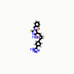 O=C1NC(=S)N(Cc2ccccc2)C(=O)/C1=C/c1ccc(-c2ccc(-c3nnn[nH]3)cc2)[nH]1